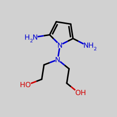 Nc1ccc(N)n1N(CCO)CCO